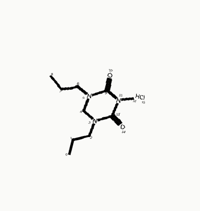 CCCN1CN(CCC)C(=O)N(C)C1=O.Cl